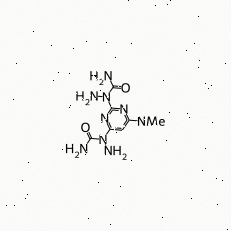 CNc1cc(N(N)C(N)=O)nc(N(N)C(N)=O)n1